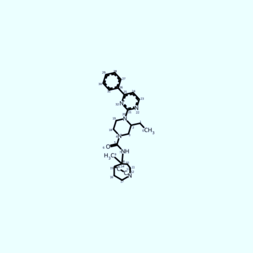 CCC1CN(C(=O)NC2(C)CCN3CCC2CC3)CCN1c1nccc(-c2ccccc2)n1